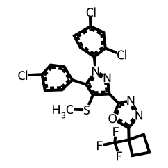 CSc1c(-c2nnc(C3(C(F)(F)F)CCC3)o2)nn(-c2ccc(Cl)cc2Cl)c1-c1ccc(Cl)cc1